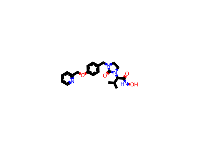 CC(C)C(C(=O)NO)N1CCN(Cc2ccc(OCc3ccccn3)cc2)C1=O